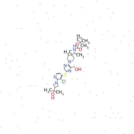 CC(NC(=O)OC(C)(C)C)C1(C)CCN(c2ncc(Sc3ccnc(N4CC(C(C)(C)O)C4)c3Cl)nc2CO)CC1